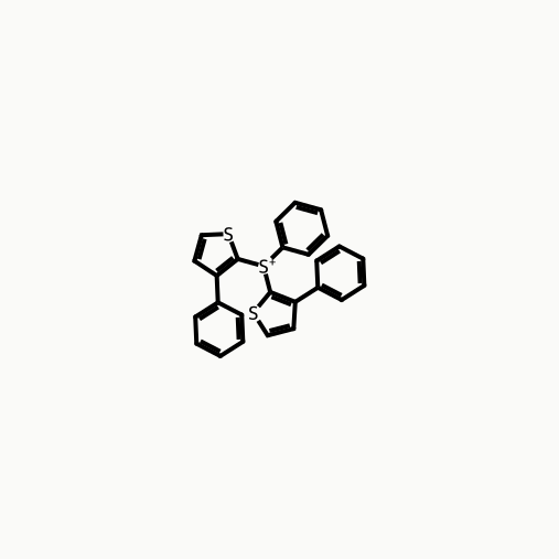 c1ccc(-c2ccsc2[S+](c2ccccc2)c2sccc2-c2ccccc2)cc1